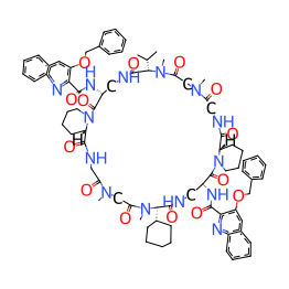 CC(C)[C@H]1C(=O)NC[C@@H](NC(=O)c2nc3ccccc3cc2OCc2ccccc2)C(=O)N2CCCC[C@H]2C(=O)NCC(=O)N(C)CC(=O)N(C)[C@@H](C2CCCCC2)C(=O)NC[C@@H](NC(=O)c2nc3ccccc3cc2OCc2ccccc2)C(=O)N2CCCC[C@H]2C(=O)NCC(=O)N(C)CC(=O)N1C